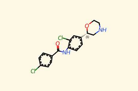 O=C(Nc1ccc([C@H]2CNCCO2)cc1Cl)c1ccc(Cl)cc1